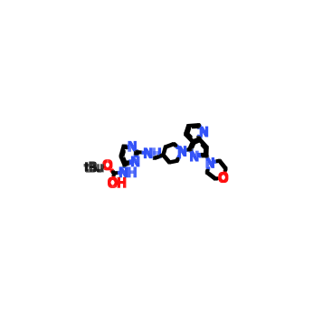 CC(C)(C)OC(O)Nc1ccnc(NCC2CCN(c3nc(N4CCOCC4)cc4ncccc34)CC2)n1